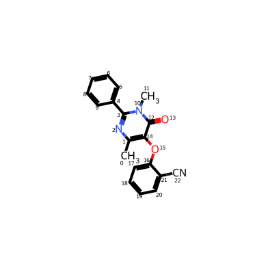 Cc1nc(-c2ccccc2)n(C)c(=O)c1Oc1ccccc1C#N